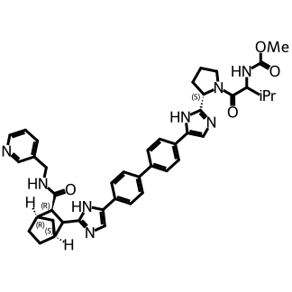 COC(=O)NC(C(=O)N1CCC[C@H]1c1ncc(-c2ccc(-c3ccc(-c4cnc(C5[C@H]6CC[C@H](C6)[C@H]5C(=O)NCc5cccnc5)[nH]4)cc3)cc2)[nH]1)C(C)C